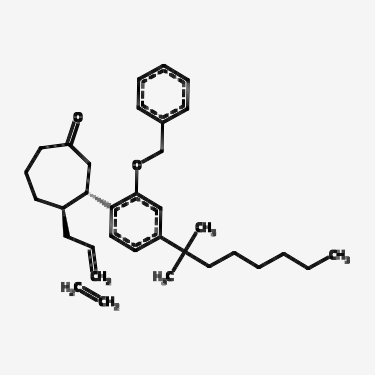 C=C.C=CC[C@H]1CCCC(=O)C[C@@H]1c1ccc(C(C)(C)CCCCCC)cc1OCc1ccccc1